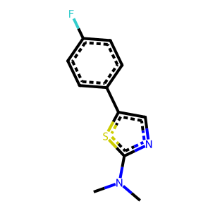 CN(C)c1ncc(-c2ccc(F)cc2)s1